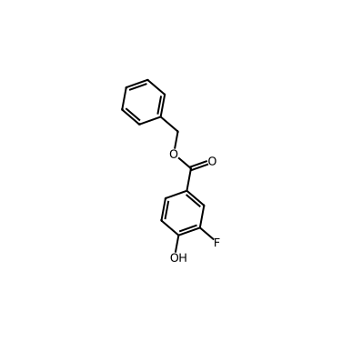 O=C(OCc1ccccc1)c1ccc(O)c(F)c1